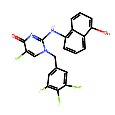 O=c1nc(Nc2cccc3c(O)cccc23)n(Cc2cc(F)c(F)c(F)c2)cc1F